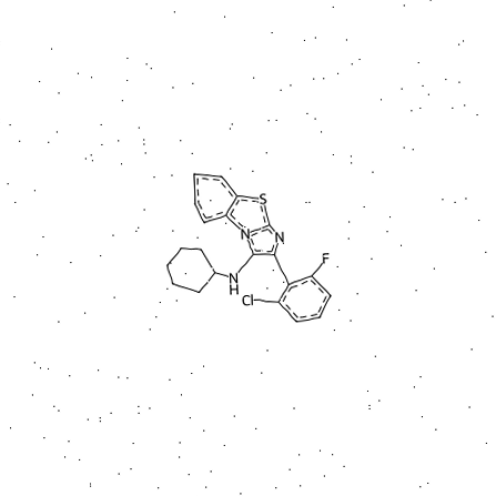 Fc1cccc(Cl)c1-c1nc2sc3ccccc3n2c1NC1CCCCC1